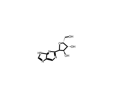 OC[C@H]1OC(c2ncc3nc[nH]c3n2)[C@H](O)[C@H]1O